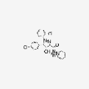 C[C@H]1C(C(=O)NN2C=CCCC2)=NN(c2ccccc2Cl)[C@H]1c1ccc(Cl)cc1